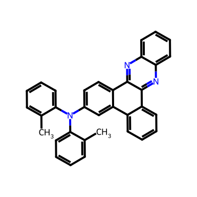 Cc1ccccc1N(c1ccc2c(c1)c1ccccc1c1nc3ccccc3nc21)c1ccccc1C